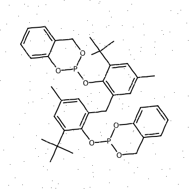 Cc1cc(Cc2cc(C)cc(C(C)(C)C)c2OP2OCc3ccccc3O2)c(OP2OCc3ccccc3O2)c(C(C)(C)C)c1